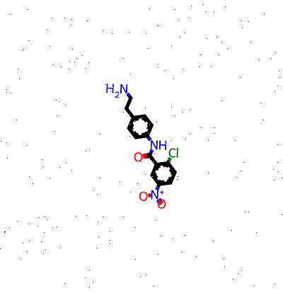 NCCc1ccc(NC(=O)c2cc([N+](=O)[O-])ccc2Cl)cc1